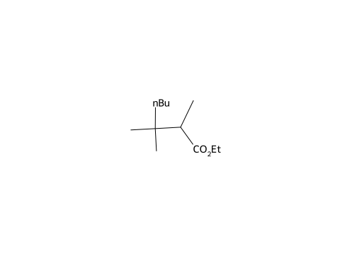 CCCCC(C)(C)C(C)C(=O)OCC